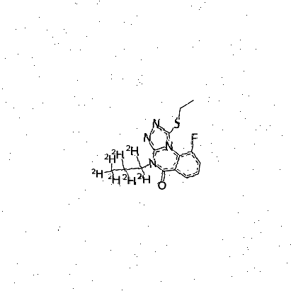 [2H]C([2H])([2H])C([2H])([2H])C([2H])([2H])n1c(=O)c2cccc(F)c2n2c(SCC)nnc12